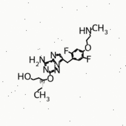 CCC[C@H](CCO)Oc1nc(N)c2ncc(Cc3cc(F)c(OCCNC)cc3F)n2n1